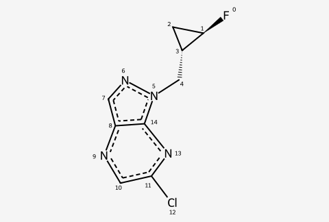 F[C@@H]1C[C@H]1Cn1ncc2ncc(Cl)nc21